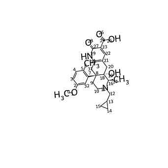 COc1ccc(C)c([C@]23CCN(CC4CC4)[C@H](C)[C@]2(O)Cc2cc(C(=O)O)c(=O)[nH]c2C3)c1